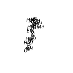 CCc1cc(Nc2ncc(Br)c(Nc3ccc4nccnc4c3P(C)(C)=O)n2)c(OC)cc1N1CCC(N2CCN(C(=O)c3nc(C(=O)Nc4ccc(C5CCC(=O)NC5=O)cc4)c[nH]3)CC2)CC1